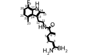 B/C(N)=C/C=C\C(=C)C(=O)NCCc1c(C)[nH]c2c(F)ccc(C)c12